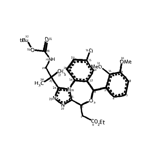 CCOC(=O)CC1OC(c2cccc(OC)c2OC)c2cc(Cl)ccc2-n2c1nnc2C(C)(C)CNC(=O)OC(C)(C)C